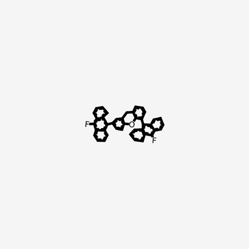 Fc1c2ccccc2c(-c2ccc3c(c2)Cc2cccc(-c4c5ccccc5c(F)c5ccccc45)c2O3)c2ccccc12